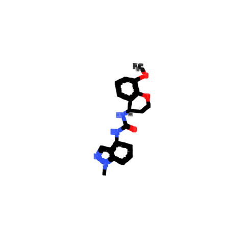 Cn1ncc2c(NC(=O)N[C@@H]3CCOc4c(OC(F)(F)F)cccc43)cccc21